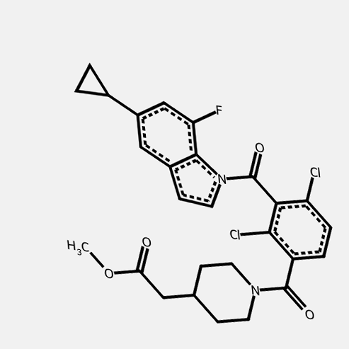 COC(=O)CC1CCN(C(=O)c2ccc(Cl)c(C(=O)n3ccc4cc(C5CC5)cc(F)c43)c2Cl)CC1